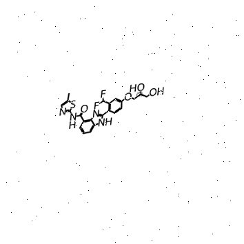 Cc1cnc(NC(=O)c2cccc3[nH]c(-c4ccc(OC[C@@H](O)CO)cc4C(F)F)nc23)s1